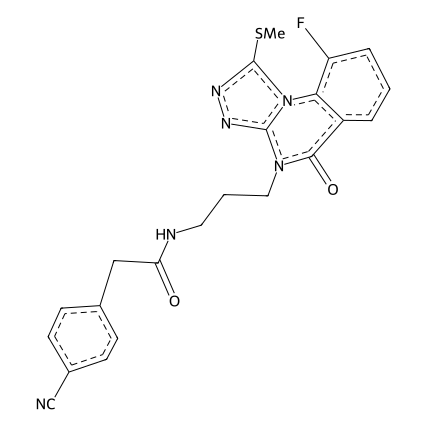 CSc1nnc2n(CCCNC(=O)Cc3ccc(C#N)cc3)c(=O)c3cccc(F)c3n12